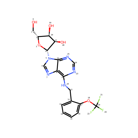 OC[C@H]1O[C@@H](n2cnc3c(NCc4ccccc4OC(F)(F)F)ncnc32)[C@H](O)[C@@H]1O